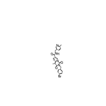 Cc1ccc(CNC(=O)c2cn3c(=O)n(Cc4ccc(Br)cc4)c(=O)c(C)c3s2)cn1